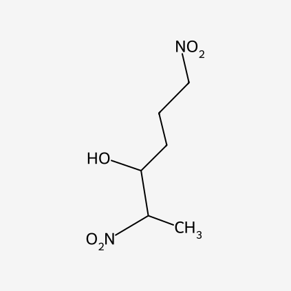 CC(C(O)CCC[N+](=O)[O-])[N+](=O)[O-]